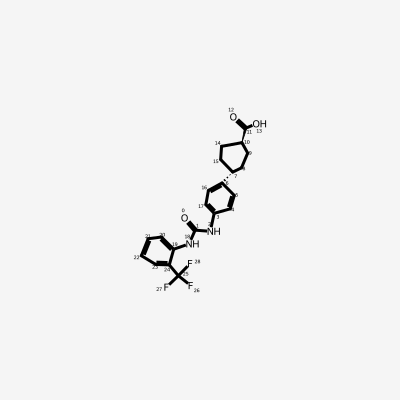 O=C(Nc1ccc([C@H]2CC[C@H](C(=O)O)CC2)cc1)Nc1ccccc1C(F)(F)F